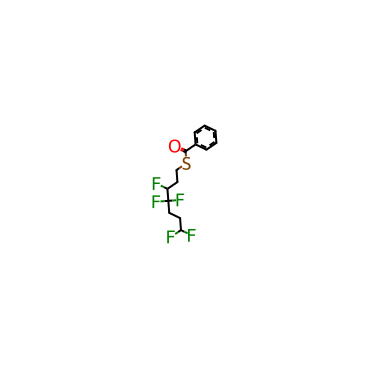 O=C(SCCC(F)C(F)(F)CCC(F)F)c1ccccc1